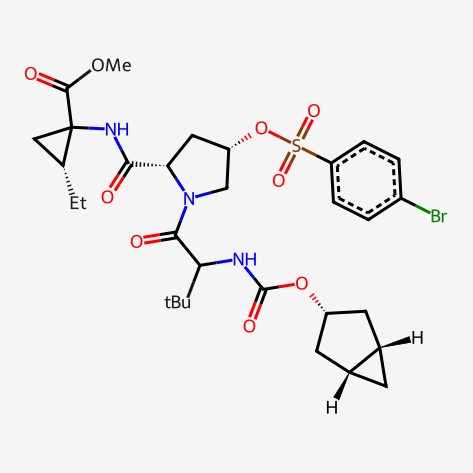 CC[C@@H]1CC1(NC(=O)[C@@H]1C[C@H](OS(=O)(=O)c2ccc(Br)cc2)CN1C(=O)C(NC(=O)O[C@@H]1C[C@@H]2C[C@@H]2C1)C(C)(C)C)C(=O)OC